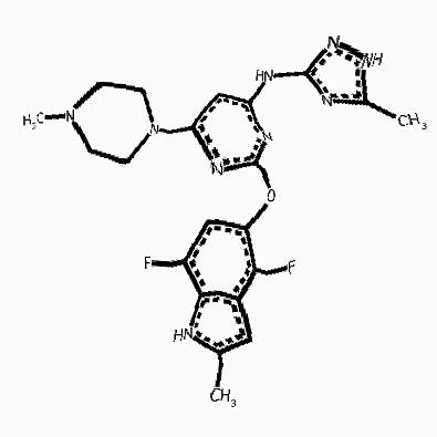 Cc1cc2c(F)c(Oc3nc(Nc4n[nH]c(C)n4)cc(N4CCN(C)CC4)n3)cc(F)c2[nH]1